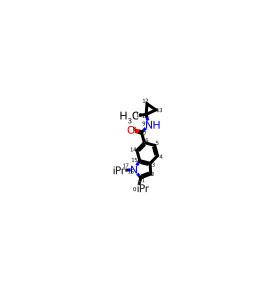 CC(C)c1cc2ccc(C(=O)NC3(C)CC3)cc2n1C(C)C